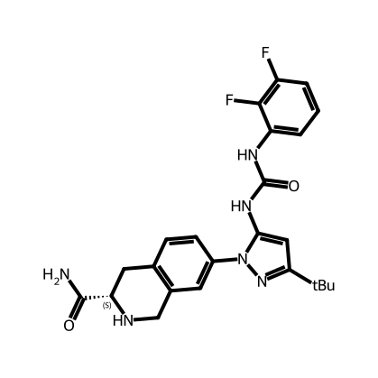 CC(C)(C)c1cc(NC(=O)Nc2cccc(F)c2F)n(-c2ccc3c(c2)CN[C@H](C(N)=O)C3)n1